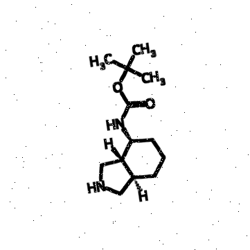 CC(C)(C)OC(=O)N[C@H]1CCC[C@H]2CNC[C@@H]21